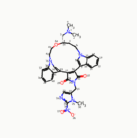 CN(C)C[C@@H]1CCn2cc(c3ccccc32)C2=C(C(=O)N(Cc3cnc([N+](=O)[O-])n3C)C2=O)c2cn(c3ccccc23)CCO1